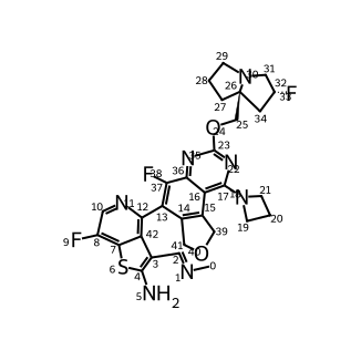 C/N=C/c1c(N)sc2c(F)cnc(-c3c4c(c5c(N6CCC6)nc(OC[C@@]67CCCN6C[C@H](F)C7)nc5c3F)COC4)c12